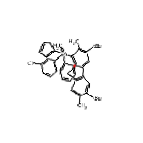 [CH2]=[Zr]([C]1=CC=CC1)([c]1ccccc1)([c]1cccc(Cl)c1)[c]1c(C)c(C(C)(C)C)cc2c1Cc1cc(C)c(C(C)(C)C)cc1-2